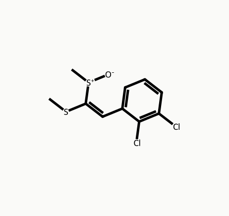 CSC(=Cc1cccc(Cl)c1Cl)[S+](C)[O-]